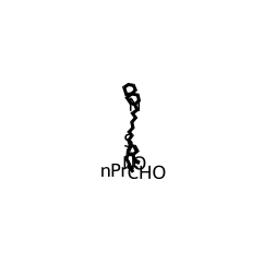 CCCC(C=O)N1Cc2cc(SCCCCCCCN3CCC4(CCCCC4)CC3)ccc2C1=O